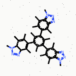 CC1=C(C)C2C(N=NN2C)C(C)=C1c1c(C)c(-c2c(C)c(C)c3c(nnn3C)c2C)c(C)c(-c2c(C)c(C)c3c(nnn3C)c2C)c1C